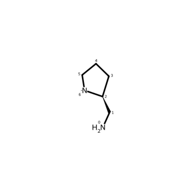 NC[C@@H]1CCC[N]1